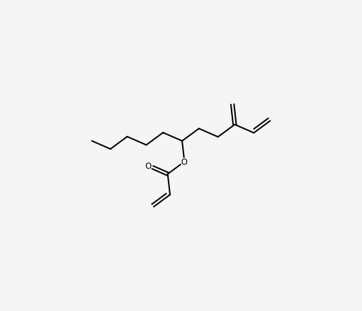 C=CC(=C)CCC(CCCCC)OC(=O)C=C